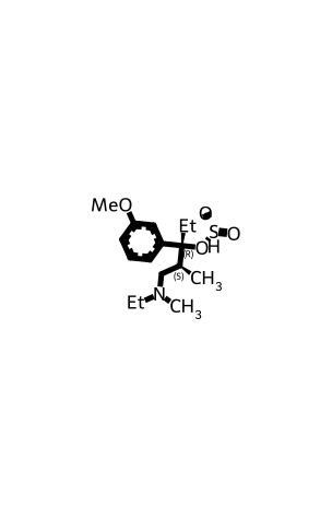 CCN(C)C[C@H](C)[C@@](CC)(O[SH](=O)=O)c1cccc(OC)c1